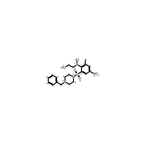 CCN(CCO)c1c(C)cc([N+](=O)[O-])cc1S(=O)(=O)N1CCN(Cc2ccccc2)CC1